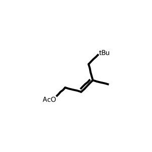 CC(=O)OCC=C(C)CC(C)(C)C